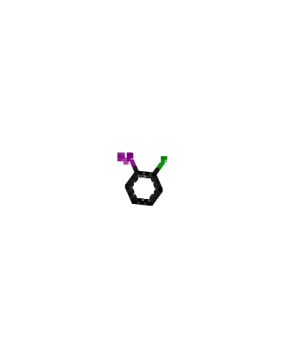 Fc1ccccc1P